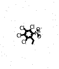 CCc1c(Cl)c(Cl)c(Cl)c(Cl)c1[N+](=O)[O-]